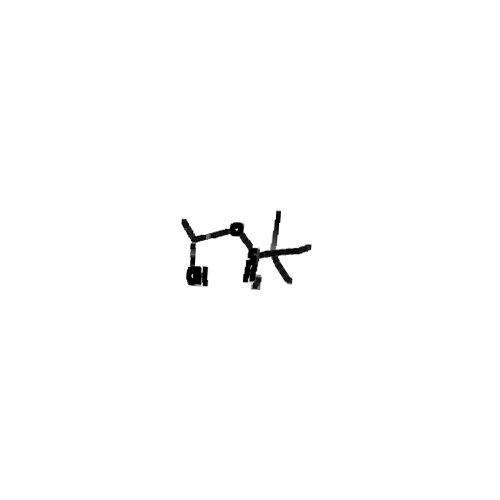 CC(O)O[SiH2]C(C)(C)C